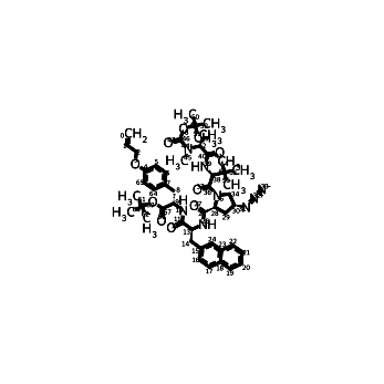 C=CCOc1ccc(C[C@H](NC(=O)[C@H](Cc2ccc3ccccc3c2)NC(=O)[C@@H]2C[C@H](N=[N+]=[N-])CN2C(=O)[C@@H](NC(=O)[C@H](C)N(C)C(=O)OC(C)(C)C)C(C)(C)C)C(=O)OC(C)(C)C)cc1